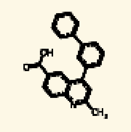 Cc1cc(-c2cccc(-c3ccccc3)c2)c2cc(C(=O)O)ccc2n1